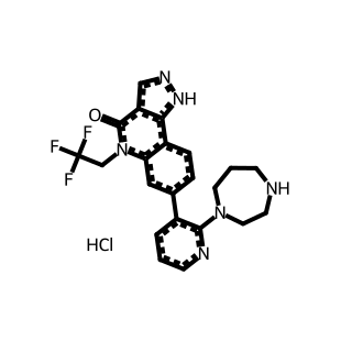 Cl.O=c1c2cn[nH]c2c2ccc(-c3cccnc3N3CCCNCC3)cc2n1CC(F)(F)F